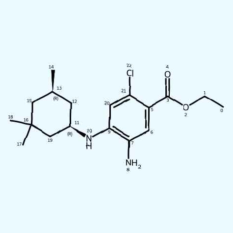 CCOC(=O)c1cc(N)c(N[C@@H]2C[C@H](C)CC(C)(C)C2)cc1Cl